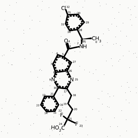 C[C@@H](NC(=O)c1ccc2nc(-c3ccccc3)c(CCCC(F)(F)C(=O)O)nc2c1)c1ccc(Cl)cc1